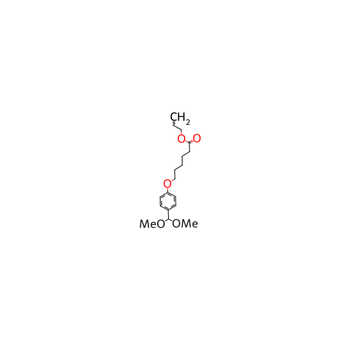 C=CCOC(=O)CCCCCOc1ccc(C(OC)OC)cc1